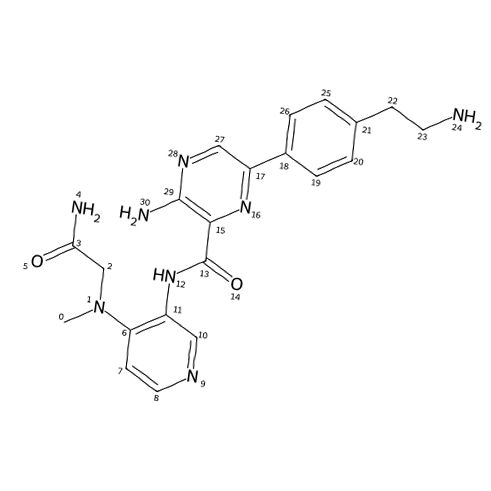 CN(CC(N)=O)c1ccncc1NC(=O)c1nc(-c2ccc(CCN)cc2)cnc1N